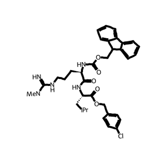 CNC(=N)NCCC[C@@H](NC(=O)OCC1c2ccccc2-c2ccccc21)C(=O)N[C@@H](CC(C)C)C(=O)OCc1ccc(Cl)cc1